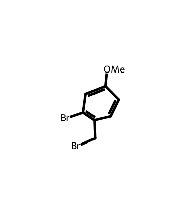 COc1ccc(CBr)c(Br)c1